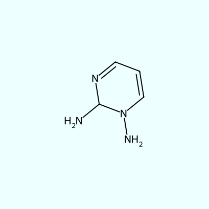 NC1N=CC=CN1N